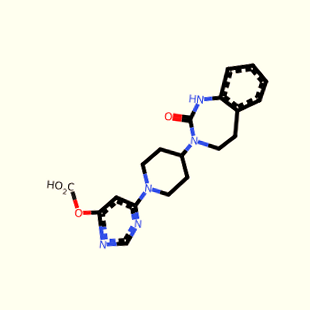 O=C(O)Oc1cc(N2CCC(N3CCc4ccccc4NC3=O)CC2)ncn1